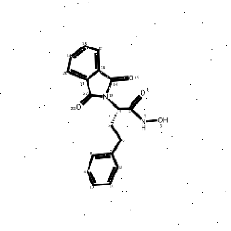 O=C(NO)[C@H](CCc1ccccc1)N1C(=O)c2ccccc2C1=O